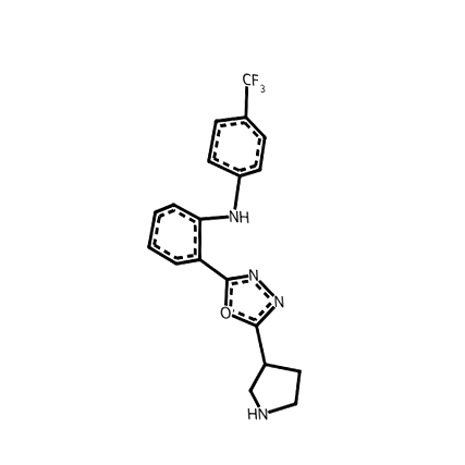 FC(F)(F)c1ccc(Nc2ccccc2-c2nnc(C3CCNC3)o2)cc1